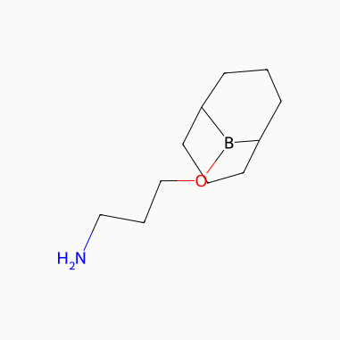 NCCCOB1C2CCCC1CCC2